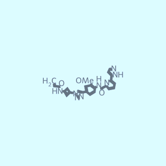 C=CC(=O)NC12CC(n3cc(-c4ccc(NC(=O)c5cccc(-c6ccn[nH]6)n5)c(OC)c4)nn3)(C1)C2